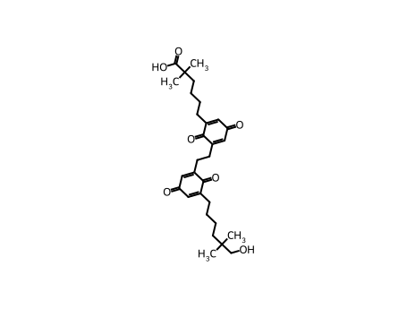 CC(C)(CO)CCCCC1=CC(=O)C=C(CCC2=CC(=O)C=C(CCCCC(C)(C)C(=O)O)C2=O)C1=O